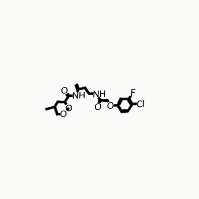 C=C(CCNC(=O)COc1ccc(Cl)c(F)c1)NC(=O)C1CC(C)COO1